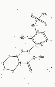 CC(C)(C)OC(=O)N1CCCCC1COc1cccc(NS(N)(=O)=O)c1C#N